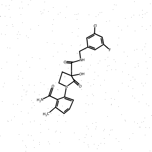 Cc1cccc(N2CCC(O)(C(=O)NCc3cc(F)cc(Cl)c3)C2=O)c1C(N)=O